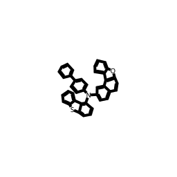 c1ccc(-c2ccc(N(c3ccc4ccc5oc6ccccc6c5c4c3)c3cccc4sc5ccccc5c34)cc2)cc1